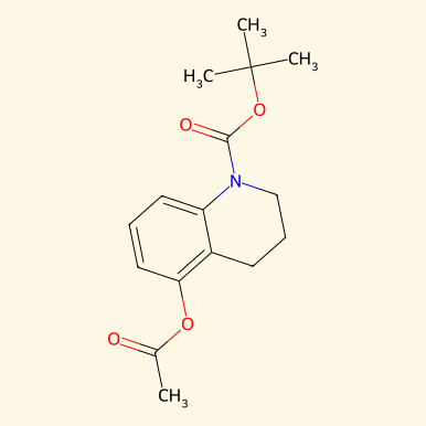 CC(=O)Oc1cccc2c1CCCN2C(=O)OC(C)(C)C